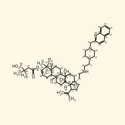 C=C(C)C1CC[C@]2(CCNCCN3CCN(Cc4ccc5ccccc5n4)CC3)CC[C@]3(C)[C@H](CC[C@@H]4[C@@]5(C)CC[C@H](OC(=O)CC(C)(C)C(=O)O)C(C)(C)[C@@H]5CC[C@]43C)[C@@H]12